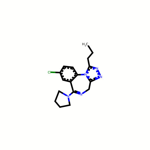 CCCc1nnc2n1-c1ccc(Cl)cc1C(N1CCCC1)=NC2